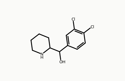 OC(c1ccc(Cl)c(Cl)c1)C1CCCCN1